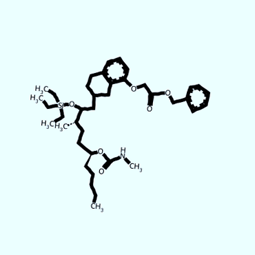 CCCCC[C@@H](CC[C@H](C)C(CC1CCc2cccc(OCC(=O)OCc3ccccc3)c2C1)O[Si](CC)(CC)CC)OC(=O)NC